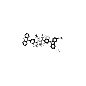 CC1=C(C(=N)NNC(N)c2c(C)cc(-n3c4ccc(C)cc4c4cc(C)ccc43)cc2C)C(C)CC(N2C3C=CC=CC3SC3C=CC=CC32)=C1